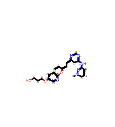 C=C/C(=C\C=C1/CC(NC2=NN(C)CC=C2)=NC=N1)Oc1ccc(OCCCO)cn1